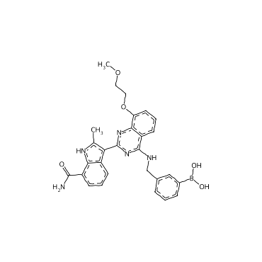 COCCOc1cccc2c(NCc3cccc(B(O)O)c3)nc(-c3c(C)[nH]c4c(C(N)=O)cccc34)nc12